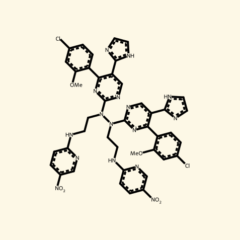 COc1cc(Cl)ccc1-c1nc(N(CCNc2ccc([N+](=O)[O-])cn2)N(CCNc2ccc([N+](=O)[O-])cn2)c2ncc(-c3ncc[nH]3)c(-c3ccc(Cl)cc3OC)n2)ncc1-c1ncc[nH]1